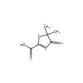 CC1(C)OC(C(=O)O)=CC1=O